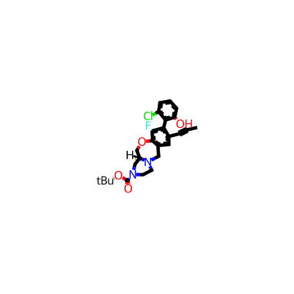 CC#Cc1cc2c(c(F)c1-c1c(O)cccc1Cl)OC[C@H]1CN(C(=O)OC(C)(C)C)CCN1C2